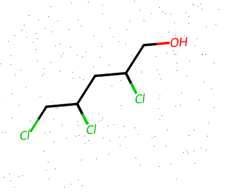 OCC(Cl)CC(Cl)CCl